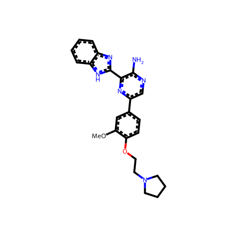 COc1cc(-c2cnc(N)c(-c3nc4ccccc4[nH]3)n2)ccc1OCCN1CCCC1